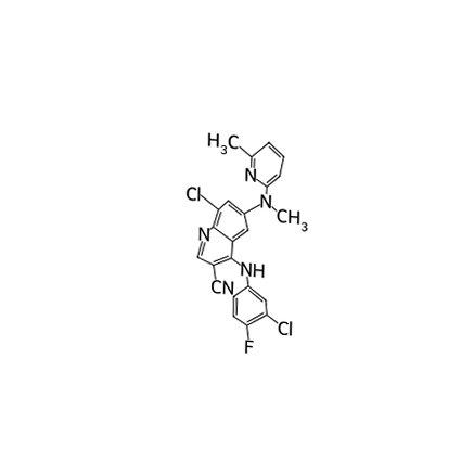 Cc1cccc(N(C)c2cc(Cl)c3ncc(C#N)c(Nc4ccc(F)c(Cl)c4)c3c2)n1